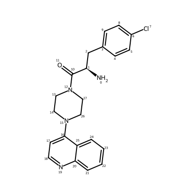 N[C@H](Cc1ccc(Cl)cc1)C(=O)N1CCN(c2ccnc3ccccc23)CC1